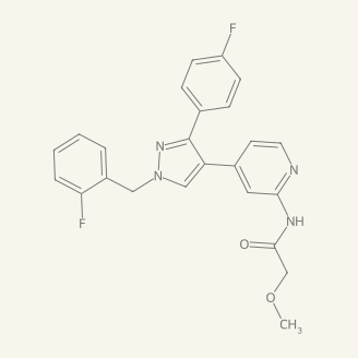 COCC(=O)Nc1cc(-c2cn(Cc3ccccc3F)nc2-c2ccc(F)cc2)ccn1